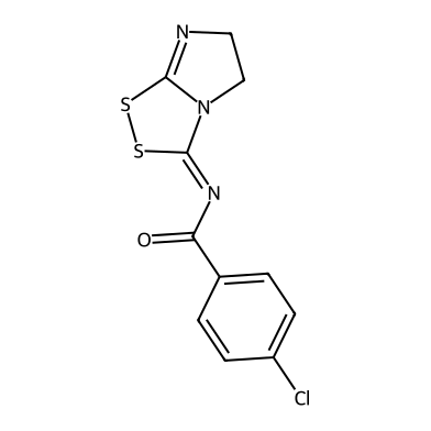 O=C(N=C1SSC2=NCCN21)c1ccc(Cl)cc1